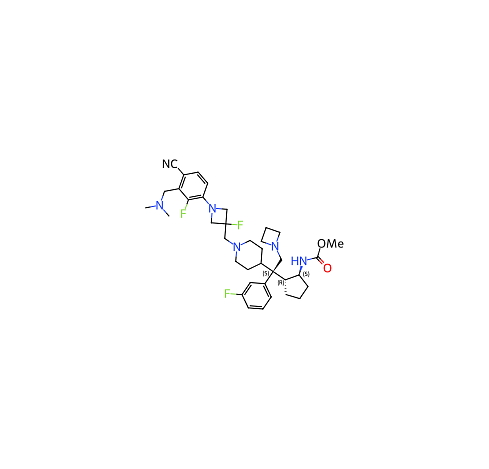 COC(=O)N[C@H]1CCC[C@@H]1[C@](CN1CCC1)(c1cccc(F)c1)C1CCN(CC2(F)CN(c3ccc(C#N)c(CN(C)C)c3F)C2)CC1